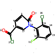 O=C(Cl)c1ccc(=O)n(-c2c(F)cccc2Cl)c1